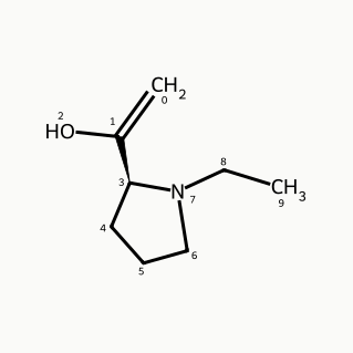 C=C(O)[C@@H]1CCCN1CC